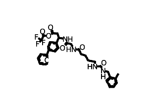 Cc1ccccc1CNC(=O)NCCCCC(=O)NCC(=O)NC(CC(=O)OC(=O)C(F)(F)F)c1ccc(-c2ccccc2)cc1